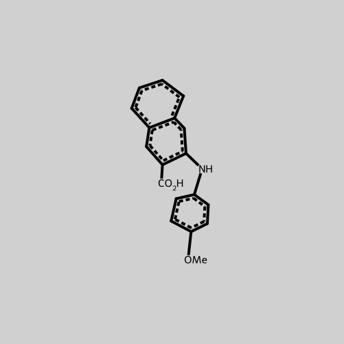 COc1ccc(Nc2cc3ccccc3cc2C(=O)O)cc1